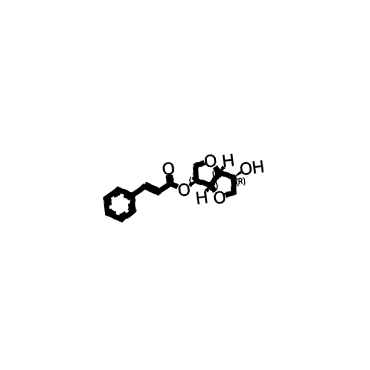 O=C(C=Cc1ccccc1)O[C@H]1CO[C@H]2[C@@H]1OC[C@H]2O